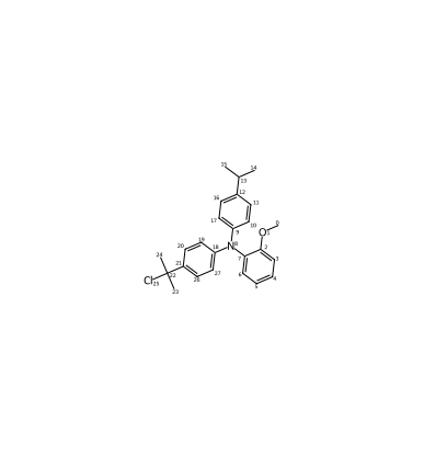 COc1ccccc1N(c1ccc(C(C)C)cc1)c1ccc(C(C)(C)Cl)cc1